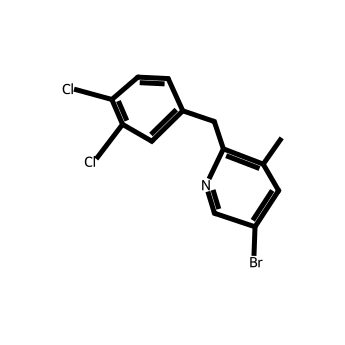 Cc1cc(Br)cnc1Cc1ccc(Cl)c(Cl)c1